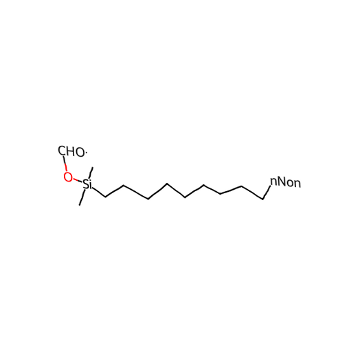 CCCCCCCCCCCCCCCCCC[Si](C)(C)O[C]=O